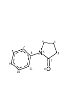 O=C1CCCN1c1cc[c]cc1